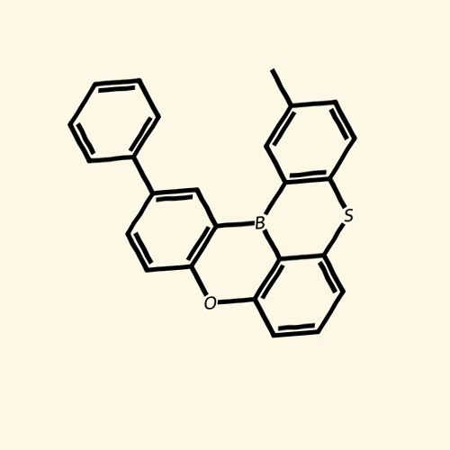 Cc1ccc2c(c1)B1c3cc(-c4ccccc4)ccc3Oc3cccc(c31)S2